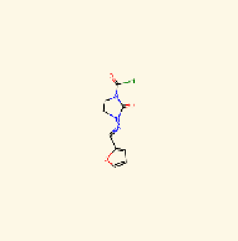 O=C(Cl)N1CCN(N=Cc2ccco2)C1=O